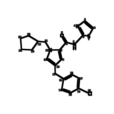 O=C(Nc1nccs1)c1cc(Cc2ccc(Cl)cc2)cn1CC1CCCC1